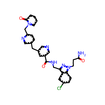 NC(=O)CCn1nc(CNC(=O)c2cncc(Cc3ccc(Cn4ccccc4=O)nc3)c2)c2cc(Cl)ccc21